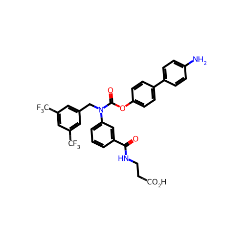 Nc1ccc(-c2ccc(OC(=O)N(Cc3cc(C(F)(F)F)cc(C(F)(F)F)c3)c3cccc(C(=O)NCCC(=O)O)c3)cc2)cc1